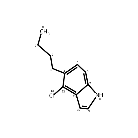 CCCCc1ccc2[nH]ccc2c1Cl